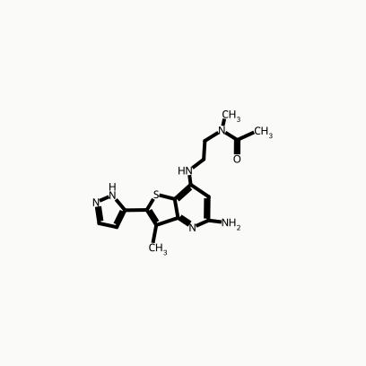 CC(=O)N(C)CCNc1cc(N)nc2c(C)c(-c3ccn[nH]3)sc12